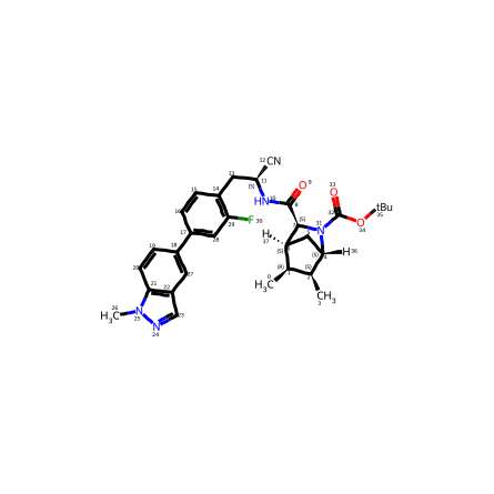 C[C@@H]1[C@H](C)[C@@H]2C[C@@H]1[C@@H](C(=O)N[C@H](C#N)Cc1ccc(-c3ccc4c(cnn4C)c3)cc1F)N2C(=O)OC(C)(C)C